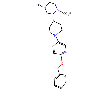 CC(C)N1CCN(C(=O)O)C(C2CCN(c3ccc(OCc4ccccc4)nc3)CC2)C1